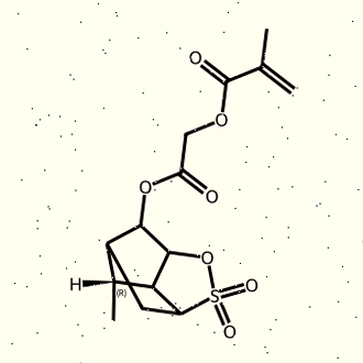 C=C(C)C(=O)OCC(=O)OC1C2OS(=O)(=O)C3CC1[C@@H](C)C23